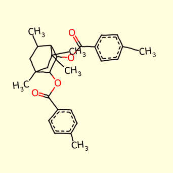 Cc1ccc(C(=O)OC2C3C(C)CC(C)(CC3(C)C)C2OC(=O)c2ccc(C)cc2)cc1